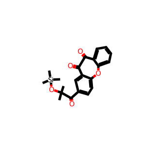 CC(C)(O[Si](C)(C)C)C(=O)c1ccc2oc3ccccc3c(=O)c(=O)c2c1